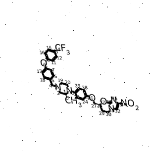 C[C@@H]1CN(Cc2ccc(Oc3ccc(C(F)(F)F)cc3)cc2)CCN1c1ccc(OC[C@@H]2CCn3cc([N+](=O)[O-])nc3O2)cc1